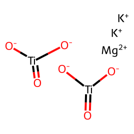 [K+].[K+].[Mg+2].[O]=[Ti]([O-])[O-].[O]=[Ti]([O-])[O-]